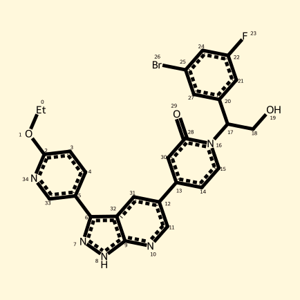 CCOc1ccc(-c2n[nH]c3ncc(-c4ccn(C(CO)c5cc(F)cc(Br)c5)c(=O)c4)cc23)cn1